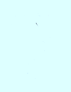 O=C1C[C@H](C(=NO)c2ccccc2F)CN1CCc1ccccc1